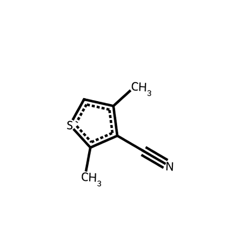 Cc1csc(C)c1C#N